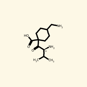 CC(C)[C@H](N)C(=O)C1(C(=O)O)CCC(CN)CC1